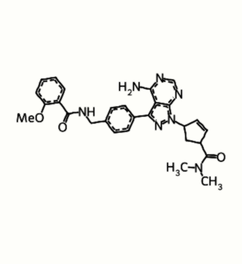 COc1ccccc1C(=O)NCc1ccc(-c2nn(C3C=CC(C(=O)N(C)C)C3)c3ncnc(N)c23)cc1